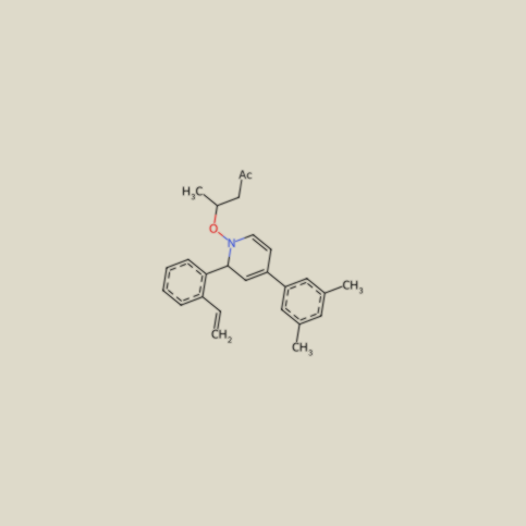 C=Cc1ccccc1C1C=C(c2cc(C)cc(C)c2)C=CN1OC(C)CC(C)=O